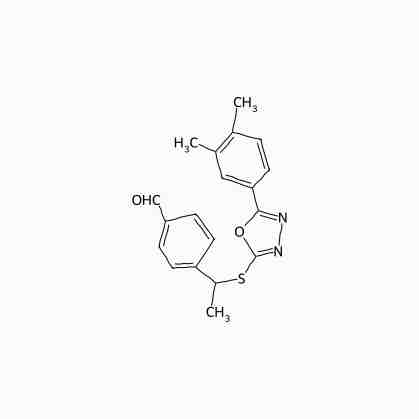 Cc1ccc(-c2nnc(SC(C)c3ccc(C=O)cc3)o2)cc1C